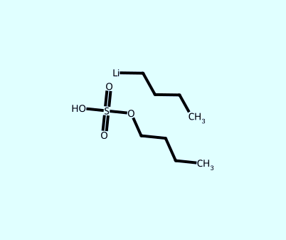 CCCCOS(=O)(=O)O.[Li][CH2]CCC